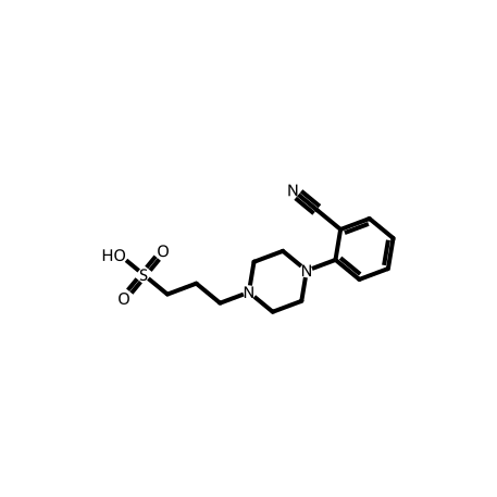 N#Cc1ccccc1N1CCN(CCCS(=O)(=O)O)CC1